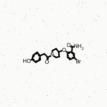 NC(=O)c1cc(Br)ccc1OC1CCN(C(=O)Cc2ccc(O)cc2)CC1